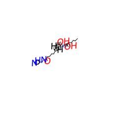 CCCCC[C@@H](O)/C=C/[C@@H]1[C@H]2CC(CCCCC(=O)NCc3ccncc3)=C[C@H]2C[C@H]1O